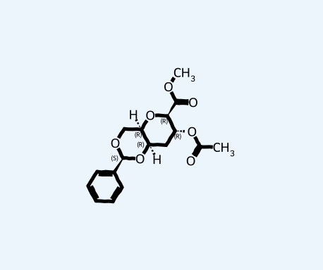 COC(=O)[C@@H]1O[C@@H]2CO[C@H](c3ccccc3)O[C@@H]2C[C@H]1OC(C)=O